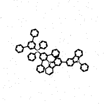 c1cccc(-c2cc(S(c3ccccc3)(c3ccccc3)c3cc(-c4ccccc4)cc(-c4ccccc4)c3)cc(-c3ccccc3)c2-n2c3c(c4cc(-c5ccc6c(c5)c5ccccc5n6-c5ccccc5)ccc42)C=CCC3)c#1